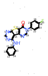 O=c1c2sc3ncnc(Nc4ccccc4)c3c2ncn1-c1ccc(F)cc1